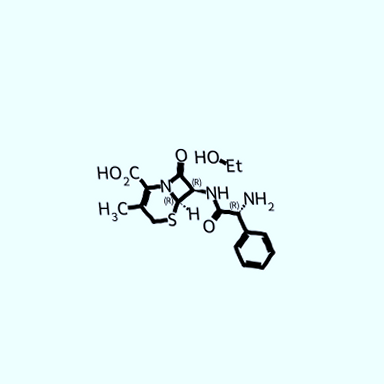 CC1=C(C(=O)O)N2C(=O)[C@@H](NC(=O)[C@H](N)c3ccccc3)[C@H]2SC1.CCO